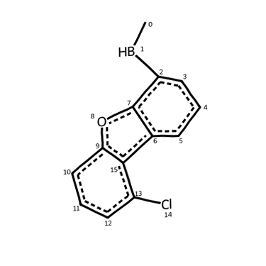 CBc1cccc2c1oc1cccc(Cl)c12